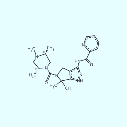 C[C@@H]1CN(C)[C@@H](C)CN1C(=O)N1Cc2c(NC(=O)c3ccccn3)n[nH]c2C1(C)C